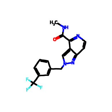 CNC(=O)c1nccc2nn(Cc3cccc(C(F)(F)F)c3)cc12